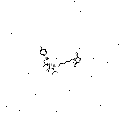 [CH2]c1ccc(NC[C@H](C)NC(=O)[C@@H](NCCCCCCN2C(=O)C=CC2=O)C(C)C)cc1